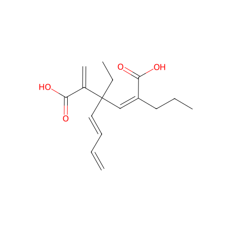 C=CC=CC(C=C(CCC)C(=O)O)(CC)C(=C)C(=O)O